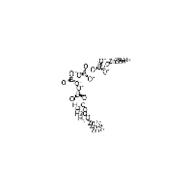 O.O.O.O.O.[O-]B([O-])[O-].[O-]B([O-])[O-].[O-]B([O-])[O-].[O-]B([O-])[O-].[Zn+2].[Zn+2].[Zn+2].[Zn+2].[Zn+2].[Zn+2]